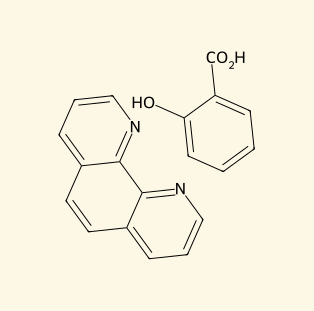 O=C(O)c1ccccc1O.c1cnc2c(c1)ccc1cccnc12